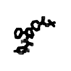 Cc1cc(C(=O)Nc2ccc(C3CCCN(C(=O)OC(C)(C)C)CC3)cc2C2=CCCCC2)no1